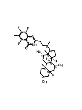 Cc1c(F)c(F)c2nc(CC[C@@H](C)[C@H]3CC[C@H]4[C@H]5C(C[C@H](O)[C@]34C)[C@@]3(C)CC[C@@H](O)C[C@H]3C[C@H]5O)[nH]c(=O)c2c1F